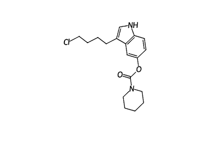 O=C(Oc1ccc2[nH]cc(CCCCCl)c2c1)N1CCCCC1